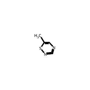 CC1=CN=C=NS1